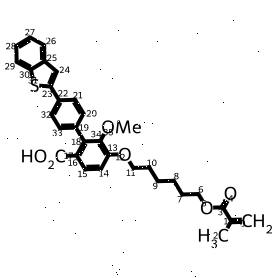 C=C(C)C(=O)OCCCCCCOc1ccc(C(=O)O)c(-c2ccc(-c3cc4ccccc4s3)cc2)c1OC